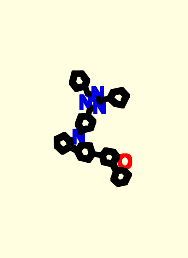 c1ccc(-c2nc(-c3ccccc3)nc(-c3ccc(-n4c5ccccc5c5ccc(-c6ccc7oc8ccccc8c7c6)cc54)cc3)n2)cc1